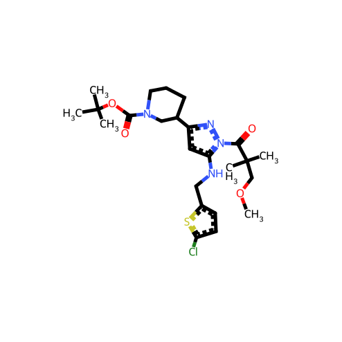 COCC(C)(C)C(=O)n1nc(C2CCCN(C(=O)OC(C)(C)C)C2)cc1NCc1ccc(Cl)s1